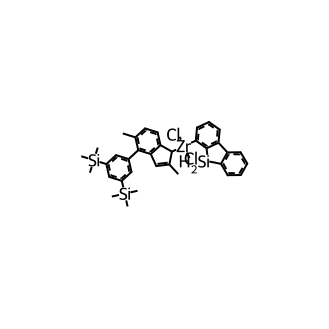 CC1=Cc2c(ccc(C)c2-c2cc([Si](C)(C)C)cc([Si](C)(C)C)c2)[CH]1[Zr]([Cl])([Cl])[c]1cccc2c1[SiH2]c1ccccc1-2